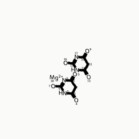 O=C1CC(=O)NC([O-])=N1.O=C1CC(=O)NC([O-])=N1.[Mg+2]